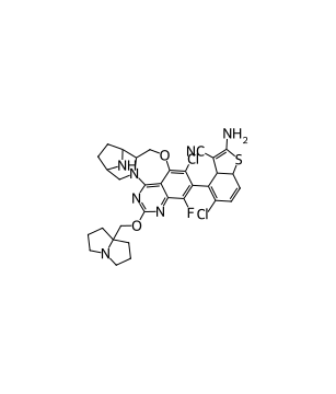 N#CC1=C(N)SC2C=CC(Cl)=C(c3c(Cl)c4c5c(nc(OCC67CCCN6CCC7)nc5c3F)N3CC5CCC(N5)C3CO4)C12